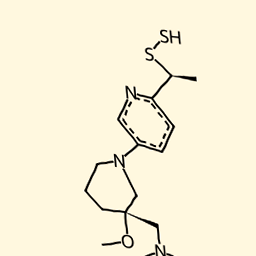 CO[C@]1(CN(C)C)CCCN(c2ccc([C@H](C)SS)nc2)C1